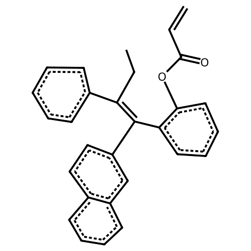 C=CC(=O)Oc1ccccc1/C(=C(\CC)c1ccccc1)c1ccc2ccccc2c1